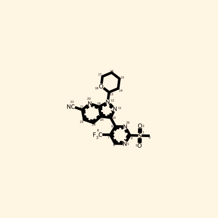 CS(=O)(=O)c1ncc(C(F)(F)F)c(-c2nn(C3CCCCO3)c3nc(C#N)ccc23)n1